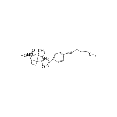 CCCCC#Cc1ccc(-c2noc(C3(C(C)(C)C)CCN3C(=O)O)n2)cc1